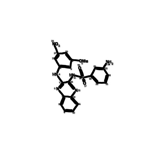 COc1cc(Nc2nc3ccccc3nc2NS(=O)(=O)c2cccc(N)c2)cc([N+](=O)[O-])c1